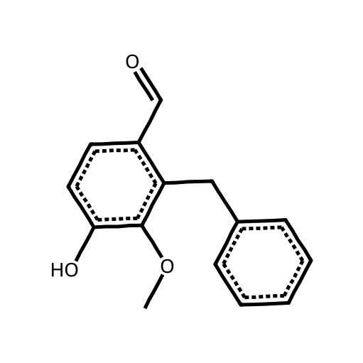 COc1c(O)ccc(C=O)c1Cc1ccccc1